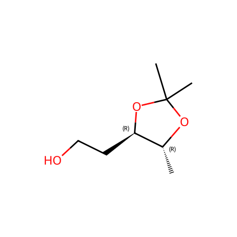 C[C@H]1OC(C)(C)O[C@@H]1CCO